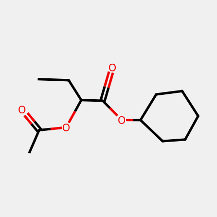 CCC(OC(C)=O)C(=O)OC1CCCCC1